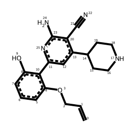 C=CCOc1cccc(O)c1-c1cc(C2CCNCC2)c(C#N)c(N)n1